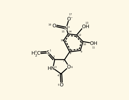 C=S=C1NC(=O)OC1c1cc(O)c(O)c([N+](=O)[O-])c1